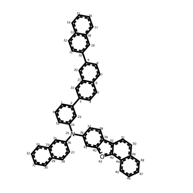 c1cc(-c2ccc3ccc(-c4ccc5ccccc5c4)cc3c2)cc(N(c2ccc3ccccc3c2)c2ccc3c(c2)oc2c4ccccc4ccc32)c1